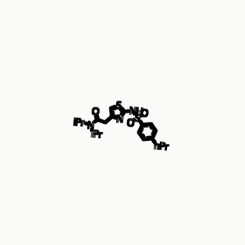 CCCc1ccc(S(=O)(=O)Nc2nc(CC(=O)N(C(C)C)C(C)C)cs2)cc1